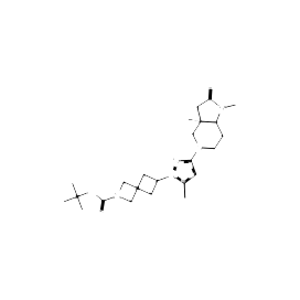 Cc1cc(N2CCC3[C@@H](CC(=O)N3C)C2)nn1C1CC2(C1)CN(C(=O)OC(C)(C)C)C2